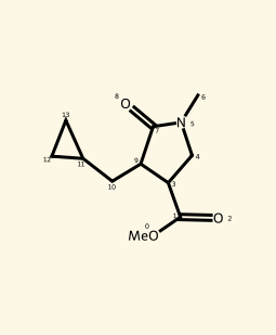 COC(=O)C1CN(C)C(=O)C1CC1CC1